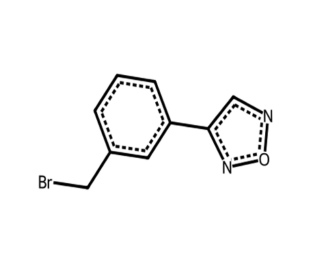 BrCc1cccc(-c2cnon2)c1